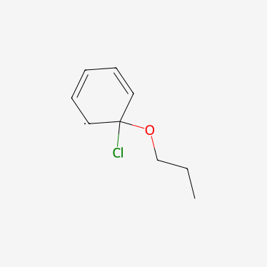 CCCOC1(Cl)[CH]C=CC=C1